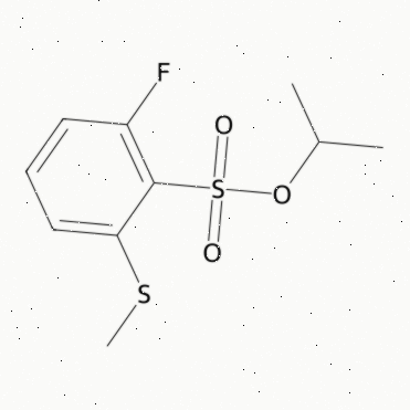 CSc1cccc(F)c1S(=O)(=O)OC(C)C